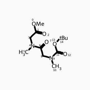 COC(=O)CN(C)C(=O)CN(C)C(=O)OC(C)(C)C